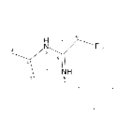 CC(C)NC(=N)CF